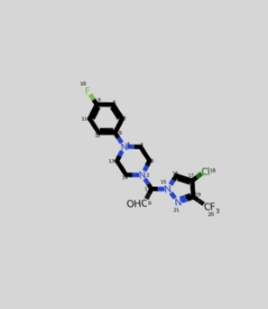 O=CC(N1CCN(c2ccc(F)cc2)CC1)n1cc(Cl)c(C(F)(F)F)n1